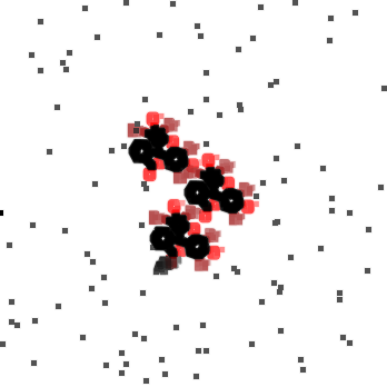 O=C1OC2(c3ccccc31)c1cc(Br)c([O-])c(Br)c1Oc1c2cc(Br)c([O-])c1Br.O=C1OC2(c3ccccc31)c1cc(Br)c([O-])c(Br)c1Oc1c2cc(Br)c([O-])c1Br.O=C1OC2(c3ccccc31)c1cc(Br)c([O-])c(Br)c1Oc1c2cc(Br)c([O-])c1Br.[Al+3].[Al+3]